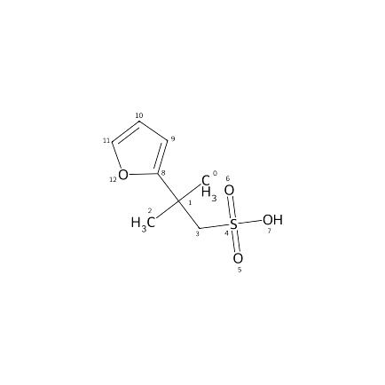 CC(C)(CS(=O)(=O)O)c1ccco1